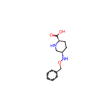 O=C(O)[C@H]1CC[C@@H](NOCc2ccccc2)CN1